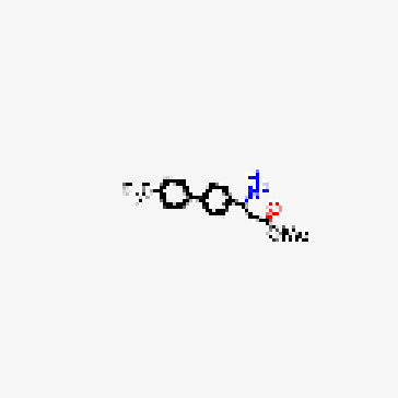 COC(=O)CC(N)c1ccc(-c2ccc(C(F)(F)F)cc2)cc1